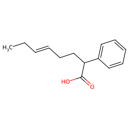 CCC=CCCC(C(=O)O)c1ccccc1